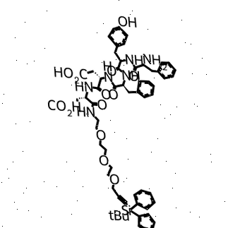 CC(C)(C)[Si](C#CCOCCOCCOCCNC(=O)[C@H](CC(=O)O)NC(=O)[C@H](CC(=O)O)NC(=O)[C@H](Cc1ccccc1)NC(=O)C(Cc1ccc(O)cc1)NC(=O)[C@@H](N)Cc1ccccc1)(c1ccccc1)c1ccccc1